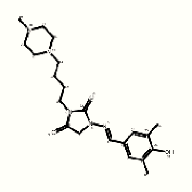 Cc1cc(C=NN2CC(=O)N(CCCCN3CCN(C)CC3)C2=O)cc(C)c1O